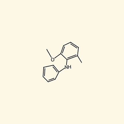 COc1cccc(C)c1Nc1ccccc1